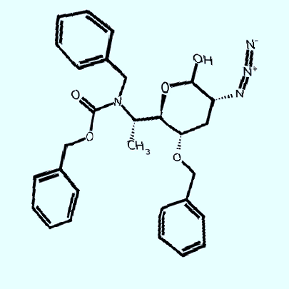 C[C@@H]([C@H]1OC(O)[C@H](N=[N+]=[N-])C[C@@H]1OCc1ccccc1)N(Cc1ccccc1)C(=O)OCc1ccccc1